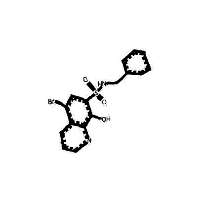 O=S(=O)(NCc1ccccc1)c1cc(Br)c2cccnc2c1O